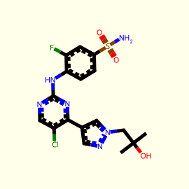 CC(C)(O)Cn1cc(-c2nc(Nc3ccc(S(N)(=O)=O)cc3F)ncc2Cl)cn1